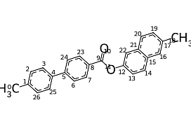 Cc1ccc(-c2ccc(C(=O)Oc3ccc4cc(C)ccc4c3)cc2)cc1